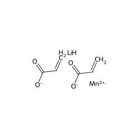 C=CC(=O)[O-].C=CC(=O)[O-].[LiH].[Mn+2]